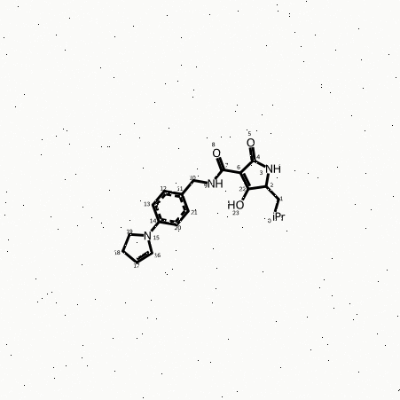 CC(C)CC1NC(=O)C(C(=O)NCc2ccc(N3C=CCC3)cc2)=C1O